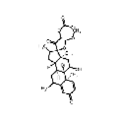 COCO[C@]1(C(=O)COC(C)=O)C(C)C[C@H]2[C@@H]3CC(C)C4=CC(=O)C=C[C@]4(C)[C@@]3(Br)C(O)C[C@@]21C